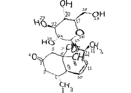 C[C@@H]1CC(=O)CC(C)(C)[C@H]1/C=C\[C@H](C)O[C@@H]1O[C@H](CO)[C@@H](O)[C@H](O)[C@H]1O